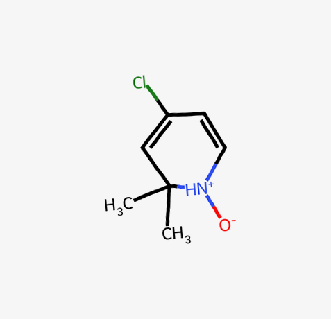 CC1(C)C=C(Cl)C=C[NH+]1[O-]